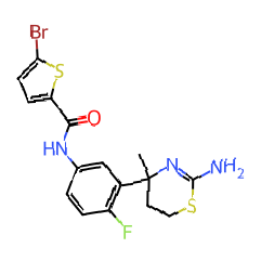 CC1(c2cc(NC(=O)c3ccc(Br)s3)ccc2F)CCSC(N)=N1